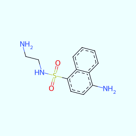 NCCNS(=O)(=O)c1ccc(N)c2ccccc12